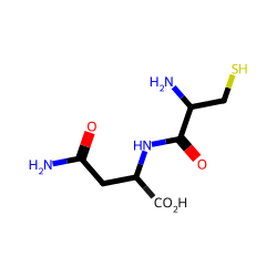 NC(=O)CC(NC(=O)C(N)CS)C(=O)O